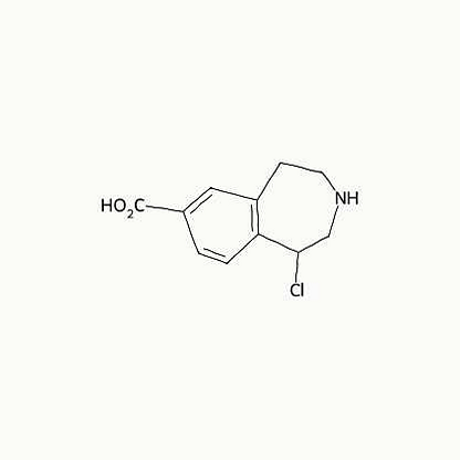 O=C(O)c1ccc2c(c1)CCNCC2Cl